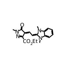 CCOC(=O)C1=NN(C)C(=O)/C1=C/C=C1N(C)c2ccccc2N1C